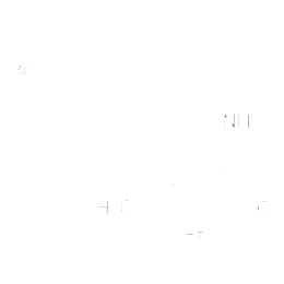 CCC1(C)C(=O)Nc2ccc(Br)cc21